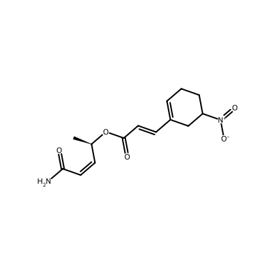 C[C@H](/C=C\C(N)=O)OC(=O)/C=C/C1=CCCC([N+](=O)[O-])C1